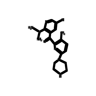 NN(N)c1ncc(Cl)cc1C(=O)c1nc(N2CCNCC2)ccc1C(F)(F)F